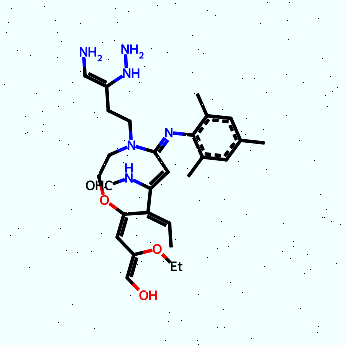 C/C=C1C(/NC=O)=C/C(=N\c2c(C)cc(C)cc2C)N(CC/C(=C/N)NN)CCOC/1=C/C(=C/O)OCC